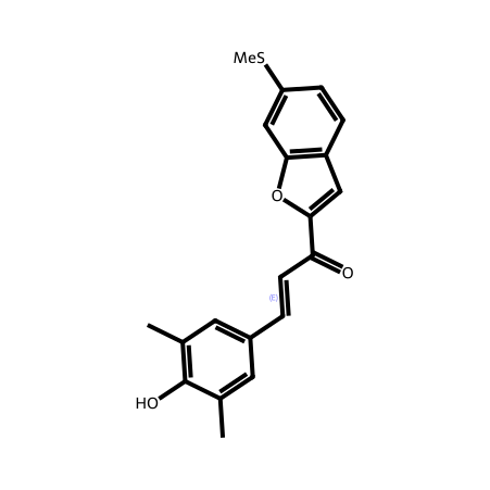 CSc1ccc2cc(C(=O)/C=C/c3cc(C)c(O)c(C)c3)oc2c1